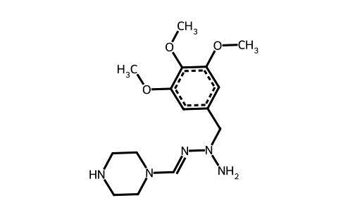 COc1cc(CN(N)N=CN2CCNCC2)cc(OC)c1OC